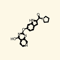 O=C(c1cc2ccc(Oc3nc(O)c4ccncc4n3)cc2[nH]1)N1CCCC1